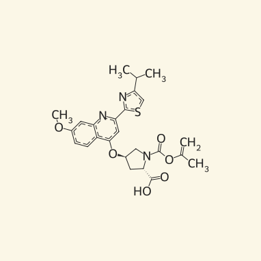 C=C(C)OC(=O)N1C[C@H](Oc2cc(-c3nc(C(C)C)cs3)nc3cc(OC)ccc23)C[C@H]1C(=O)O